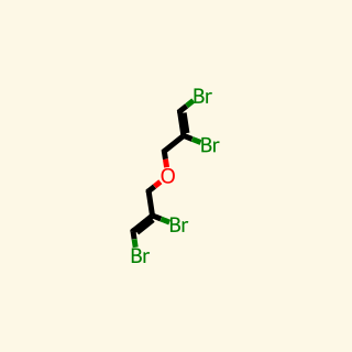 BrC=C(Br)COCC(Br)=CBr